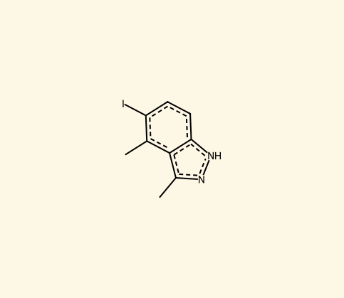 Cc1n[nH]c2ccc(I)c(C)c12